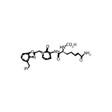 CC(C)Cc1cccc2oc(Cn3cccc(NC(=O)[C@H](CC/C=C/C(N)=O)NC(=O)O)c3=O)nc12